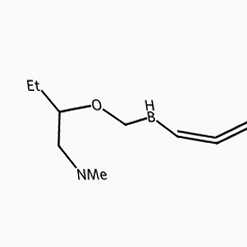 C=C=CBCOC(CC)CNC